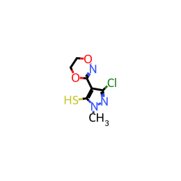 Cn1nc(Cl)c(C2=NOCCO2)c1S